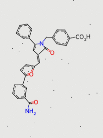 NC(=O)c1cccc(-c2ccc(/C=C3\C=C(c4ccccc4)N(Cc4ccc(C(=O)O)cc4)C3=O)o2)c1